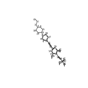 CCCC1CCC(c2ccc(C#Cc3cc(F)c(C#CC(F)(F)F)c(F)c3)cc2)CC1